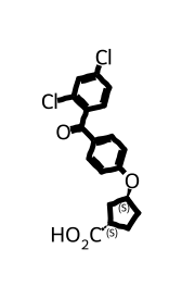 O=C(c1ccc(O[C@H]2CC[C@H](C(=O)O)C2)cc1)c1ccc(Cl)cc1Cl